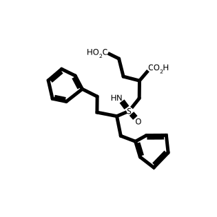 N=S(=O)(CC(CCC(=O)O)C(=O)O)C(CCc1ccccc1)Cc1ccccc1